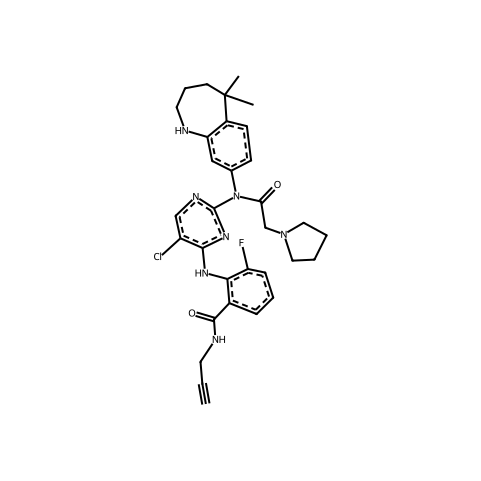 C#CCNC(=O)c1cccc(F)c1Nc1nc(N(C(=O)CN2CCCC2)c2ccc3c(c2)NCCCC3(C)C)ncc1Cl